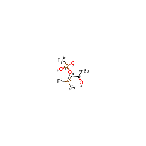 CCCCC(=O)C[S+](C(C)C)C(C)C.O=S(=O)([O-])C(F)(F)F